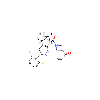 COC(=O)C1CN(C(=O)[C@@]23CC[C@@H](c4cc(-c5c(F)cccc5F)nnc42)C3(C)C)C1